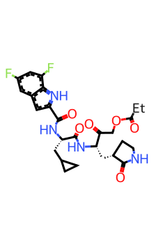 CCC(=O)OCC(=O)[C@H](C[C@@H]1CCNC1=O)NC(=O)[C@H](CC1CC1)NC(=O)c1cc2cc(F)cc(F)c2[nH]1